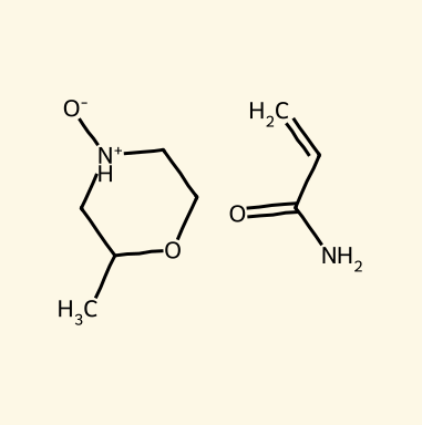 C=CC(N)=O.CC1C[NH+]([O-])CCO1